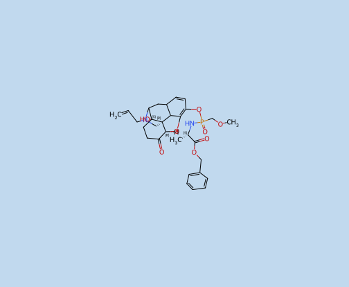 C=CCN1C[C@@]23C4C5=C(OP(=O)(COC)N[C@@H](C)C(=O)OCc6ccccc6)C=CC4CC1[C@]2(O)CCC(=O)[C@@H]3O5